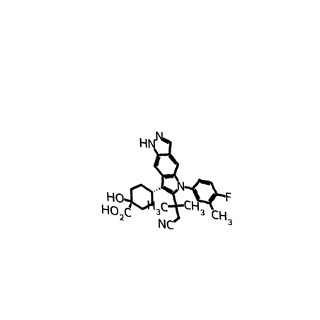 Cc1cc(-n2c(C(C)(C)CC#N)c([C@H]3CC[C@](O)(C(=O)O)CC3)c3cc4[nH]ncc4cc32)ccc1F